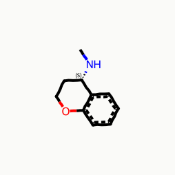 CN[C@H]1CCOc2ccccc21